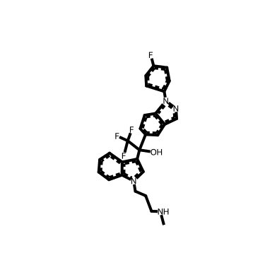 CNCCCn1cc(C(O)(c2ccc3c(cnn3-c3ccc(F)cc3)c2)C(F)(F)F)c2ccccc21